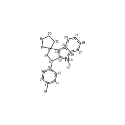 Cc1ccc(C2CC3(CCCC3)c3c2n(C)c2ccccc32)cc1